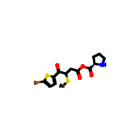 CC(=O)SC(CC(=O)OC(=O)[C@@H]1CCCN1)C(=O)c1ccc(Br)s1